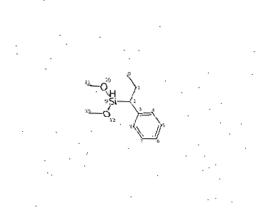 CCC(c1ccccc1)[SiH](OC)OC